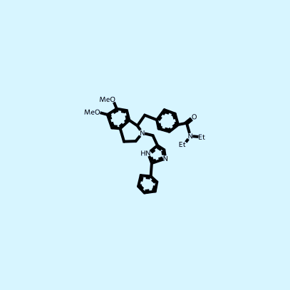 CCN(CC)C(=O)c1ccc(CC2c3cc(OC)c(OC)cc3CCN2Cc2cnc(-c3ccccc3)[nH]2)cc1